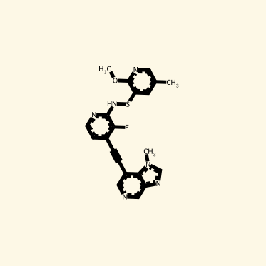 COc1ncc(C)cc1SNc1nccc(C#Cc2cncc3ncn(C)c23)c1F